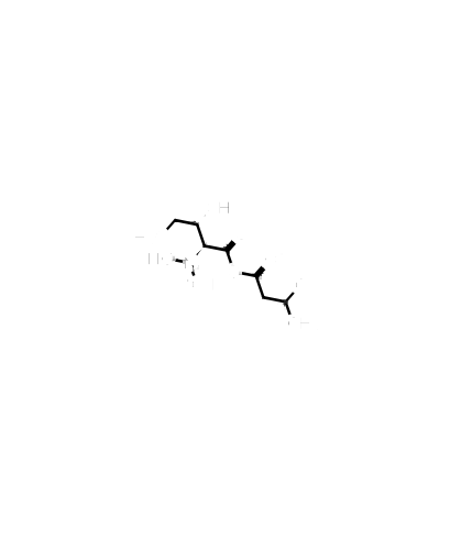 CC[C@H](C)[C@@H](C(=O)OC(=O)CC(C)C)N(C)O